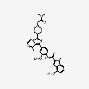 COc1cc(-c2nc(C3CCN(CC(=O)N(C)C)CC3)n3ccnc(C)c23)ccc1NC(=O)c1cc2c(OC)cccc2n1C